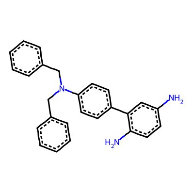 Nc1ccc(N)c(-c2ccc(N(Cc3ccccc3)Cc3ccccc3)cc2)c1